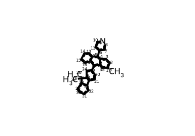 Cc1ccc2c(-c3ccncc3)c3ccccc3c(-c3ccc4c(c3)C(C)(C)c3ccccc3-4)c2c1